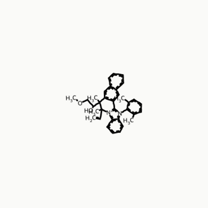 C=CC1(C)[n+]2c(n(-c3c(C)cccc3C)c3ccccc32)-c2cc3ccccc3cc2C1(C)C(O)COC